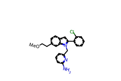 COCCc1ccc2cc(-c3ccccc3Cl)n(Cc3cccc(N)n3)c2c1